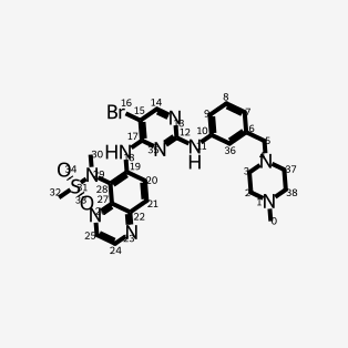 CN1CCN(Cc2cccc(Nc3ncc(Br)c(Nc4ccc5nccnc5c4N(C)S(C)(=O)=O)n3)c2)CC1